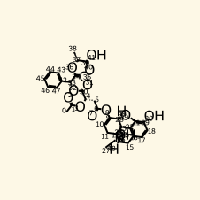 CC(=O)O[C@@H](CC(=O)OC1=CC[C@@]2(O)[C@H]3Cc4ccc(O)c5c4[C@@]2(CCN3C)[C@H]1O5)C(=O)O[C@H](C(=O)O[C@@H](C)C(=O)O)c1ccccc1